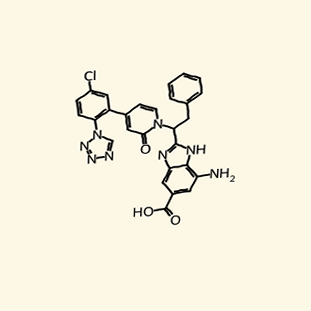 Nc1cc(C(=O)O)cc2nc(C(Cc3ccccc3)n3ccc(-c4cc(Cl)ccc4-n4cnnn4)cc3=O)[nH]c12